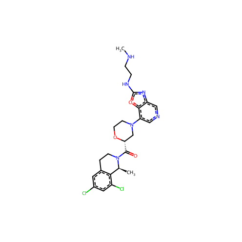 CNCCNc1nc2cncc(N3CCO[C@@H](C(=O)N4CCc5cc(Cl)cc(Cl)c5[C@@H]4C)C3)c2o1